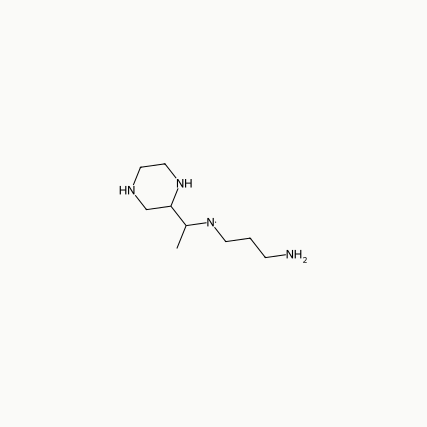 CC([N]CCCN)C1CNCCN1